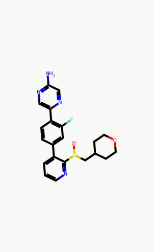 Nc1cnc(-c2ccc(-c3cccnc3[S+]([O-])CC3CCOCC3)cc2F)cn1